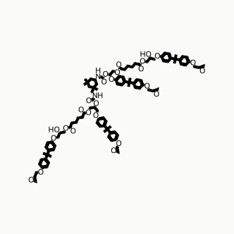 CC1(C)CC(NC(=O)OC(COC(=O)CCCCC(=O)OCC(O)COc2ccc(C(C)(C)c3ccc(OCC4CO4)cc3)cc2)Oc2ccc(C(C)(C)c3ccc(OCC4CO4)cc3)cc2)CC(C)(CNC(=O)OC(COC(=O)CCCCC(=O)OCC(O)COc2ccc(C(C)(C)c3ccc(OCC4CO4)cc3)cc2)COc2ccc(C(C)(C)c3ccc(OC4CO4)cc3)cc2)C1